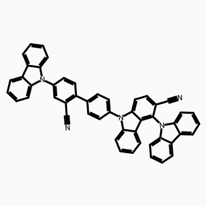 N#Cc1cc(-n2c3ccccc3c3ccccc32)ccc1-c1ccc(-n2c3ccccc3c3c(-n4c5ccccc5c5ccccc54)c(C#N)ccc32)cc1